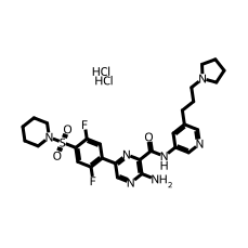 Cl.Cl.Nc1ncc(-c2cc(F)c(S(=O)(=O)N3CCCCC3)cc2F)nc1C(=O)Nc1cncc(CCCN2CCCC2)c1